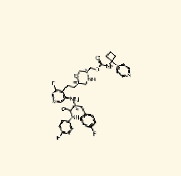 O=C(NC1(c2ccncc2)CCC1)OC[C@@H]1CO[C@H](CCc2c(F)cncc2N[C@@H](Cc2ccc(F)cc2)C(=O)Nc2ccc(F)cc2)CN1